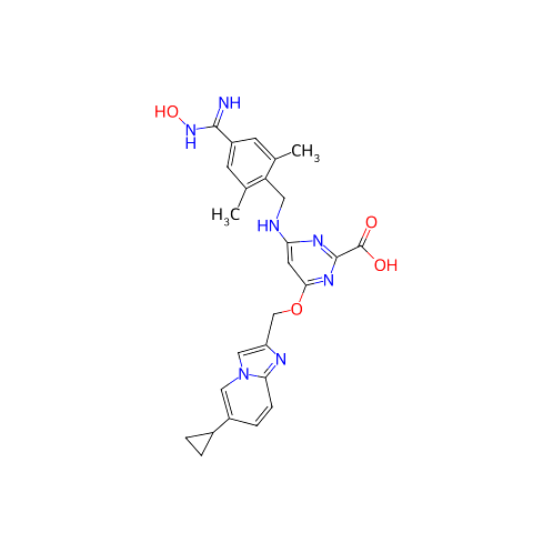 Cc1cc(C(=N)NO)cc(C)c1CNc1cc(OCc2cn3cc(C4CC4)ccc3n2)nc(C(=O)O)n1